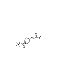 COC(=O)C=CC1CCN(C(=O)OC(C)(C)C)CC1